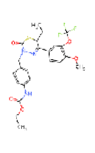 CCOC(=O)Nc1ccc(CN2N=C(c3ccc(OC)c(OC(F)(F)F)c3)C(CC)SC2=O)cc1